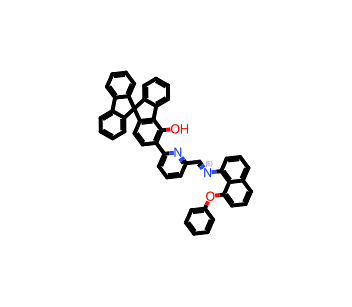 Oc1c(-c2cccc(/C=N/c3cccc4cccc(Oc5ccccc5)c34)n2)ccc2c1-c1ccccc1C21c2ccccc2-c2ccccc21